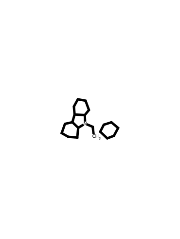 C1CCCCC1.CCN1C2CCCCC2C2CCCCC21